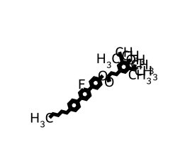 CCCCCc1ccc(-c2ccc(-c3ccc(OC(=O)CCc4cc(C(C)(C)C)c(O)c(C(C)(C)C)c4)cc3)c(F)c2)cc1